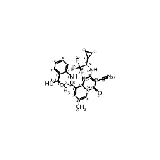 Cc1cc([C@@H](C)Nc2ccccc2C(=O)O)c2nc(N[C@@H](C3CC3)C(F)(F)F)c(C#N)c(=O)n2c1